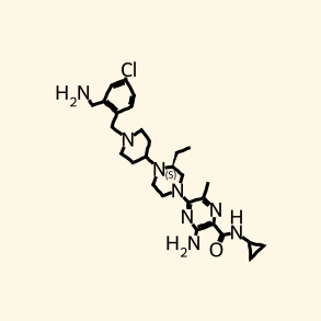 CC[C@H]1CN(c2nc(N)c(C(=O)NC3CC3)nc2C)CCN1C1CCN(Cc2ccc(Cl)cc2CN)CC1